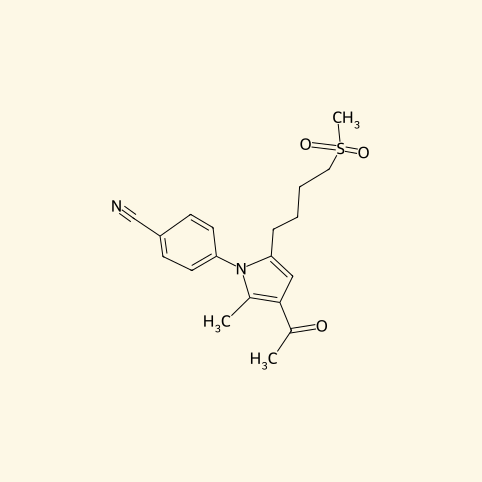 CC(=O)c1cc(CCCCS(C)(=O)=O)n(-c2ccc(C#N)cc2)c1C